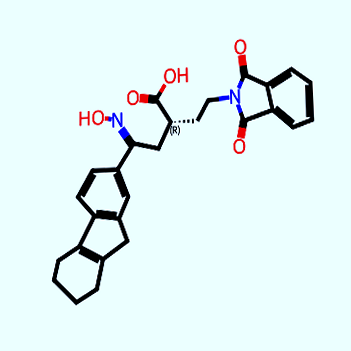 O=C(O)[C@H](CCN1C(=O)c2ccccc2C1=O)CC(=NO)c1ccc2c(c1)CC1=C2CCCC1